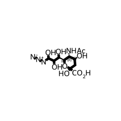 CC(=O)N[C@@H]1[C@@H](O)CC(O)(C(=O)O)O[C@H]1C(O)C(O)C(O)N=[N+]=[N-]